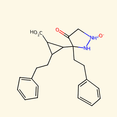 O=C(O)C1C(CCc2ccccc2)C1C1(CCc2ccccc2)N[NH+]([O-])CC1=O